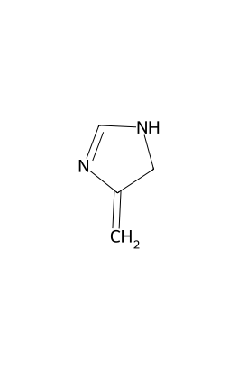 C=C1CNC=N1